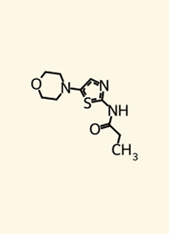 CCC(=O)Nc1ncc(N2CCOCC2)s1